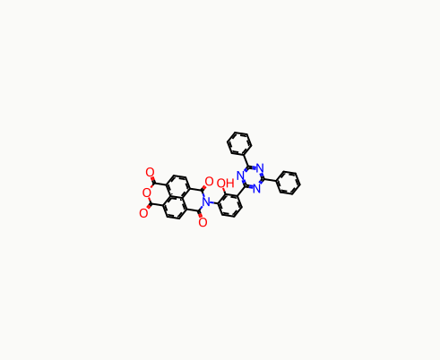 O=C1OC(=O)c2ccc3c4c(ccc1c24)C(=O)N(c1cccc(-c2nc(-c4ccccc4)nc(-c4ccccc4)n2)c1O)C3=O